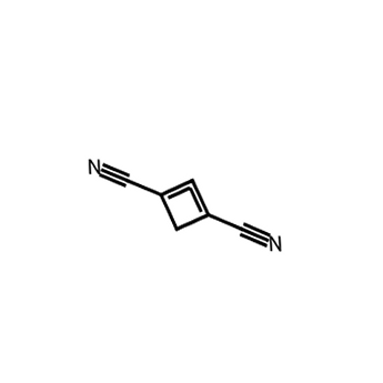 N#CC1=C=C(C#N)C1